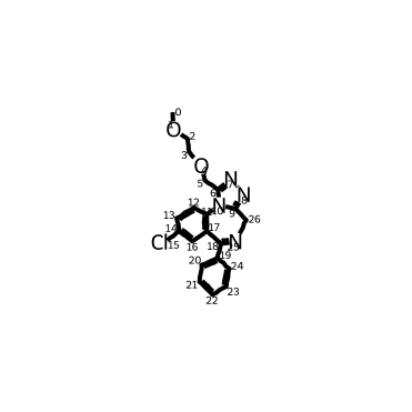 COCCOCc1nnc2n1-c1ccc(Cl)cc1C(c1ccccc1)=NC2